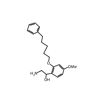 COc1ccc(C(O)CN)c(OCCCCCc2ccccc2)c1